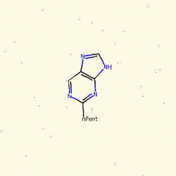 CCCCCc1n[c]c2nc[nH]c2n1